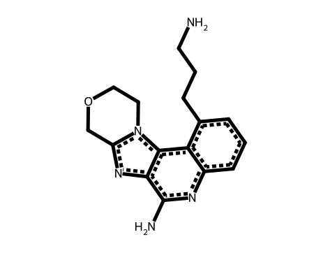 NCCCc1cccc2nc(N)c3nc4n(c3c12)CCOC4